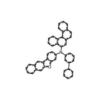 c1ccc(-c2cccc(N(c3ccc4c(c3)oc3cc5ccccc5cc34)c3cc4ccc5ccccc5c4c4ccccc34)c2)cc1